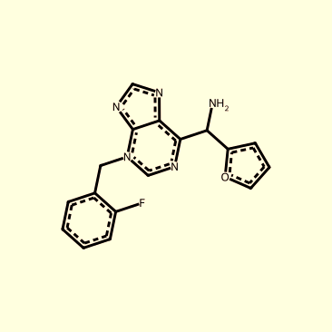 NC(c1ccco1)c1ncn(Cc2ccccc2F)c2ncnc1-2